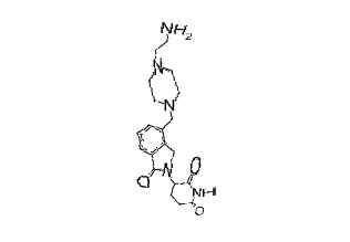 NCCN1CCN(Cc2cccc3c2CN(C2CCC(=O)NC2=O)C3=O)CC1